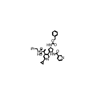 C=C(c1cc(C2CC2)ncc1C1=C[C@H](NC(=O)OCc2ccccc2)C[C@@H]1NC(=O)c1cccnc1)S(=O)(=O)NCC(C)C